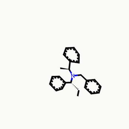 CC[C@H](c1ccccc1)N(Cc1ccccc1)[C@@H](C)c1ccccc1